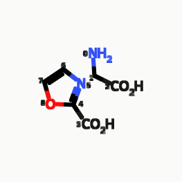 NCC(=O)O.O=C(O)c1ncco1